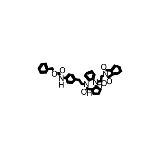 O=C(Nc1ccc(CCN2C(=O)[C@H]3CCC[C@H]3N(C(=O)CN3C(=O)c4ccccc4C3=O)c3ccccc32)cc1)OCc1ccccc1